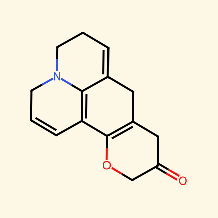 O=C1COC2=C(C1)CC1=CCCN3CC=CC2=C13